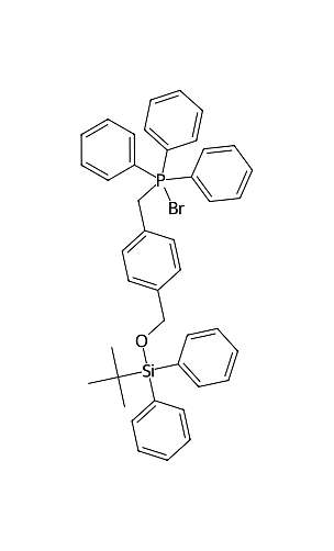 CC(C)(C)[Si](OCc1ccc(CP(Br)(c2ccccc2)(c2ccccc2)c2ccccc2)cc1)(c1ccccc1)c1ccccc1